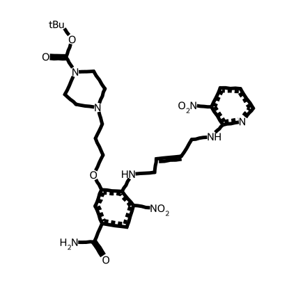 CC(C)(C)OC(=O)N1CCN(CCCOc2cc(C(N)=O)cc([N+](=O)[O-])c2NC/C=C/CNc2ncccc2[N+](=O)[O-])CC1